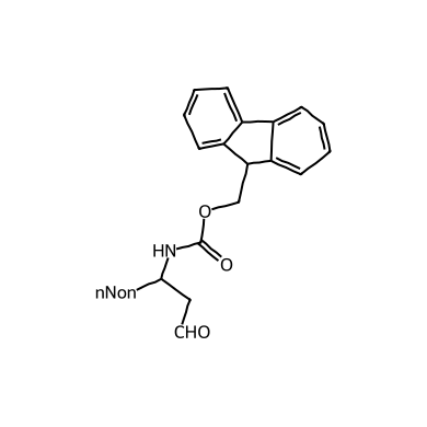 CCCCCCCCCC(CC=O)NC(=O)OCC1c2ccccc2-c2ccccc21